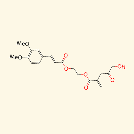 C=C(CC(=O)CO)C(=O)OCCOC(=O)/C=C/c1ccc(OC)c(OC)c1